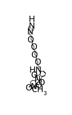 CN1C(=O)CCC(N2C(=O)c3cccc(NCCOCCOCCOCCOCCN4CCNCC4)c3C2=O)C1=O